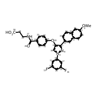 COc1ccc2cc(-c3nn(-c4cc(F)cc(F)c4)cc3Oc3ccc(C(=O)NCCC(=O)O)cc3)ccc2c1